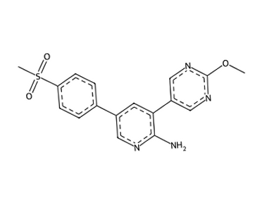 COc1ncc(-c2cc(-c3ccc(S(C)(=O)=O)cc3)cnc2N)cn1